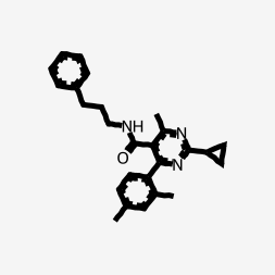 Cc1ccc(-c2nc(C3CC3)nc(C)c2C(=O)NCCCc2ccccc2)c(C)c1